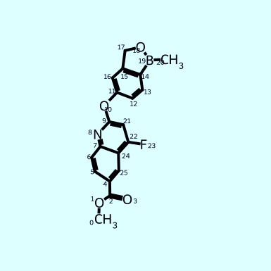 COC(=O)c1ccc2nc(Oc3ccc4c(c3)COB4C)cc(F)c2c1